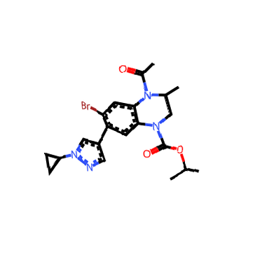 CC(=O)N1c2cc(Br)c(-c3cnn(C4CC4)c3)cc2N(C(=O)OC(C)C)CC1C